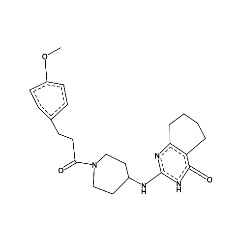 COc1ccc(CCC(=O)N2CCC(Nc3nc4c(c(=O)[nH]3)CCCC4)CC2)cc1